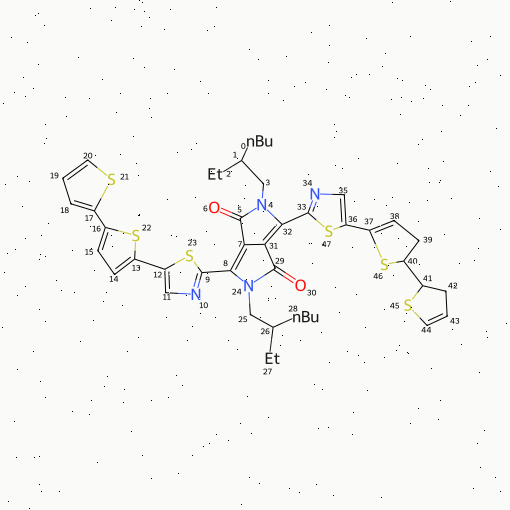 CCCCC(CC)CN1C(=O)C2=C(c3ncc(-c4ccc(-c5cccs5)s4)s3)N(CC(CC)CCCC)C(=O)C2=C1c1ncc(C2=CCC(C3CC=CS3)S2)s1